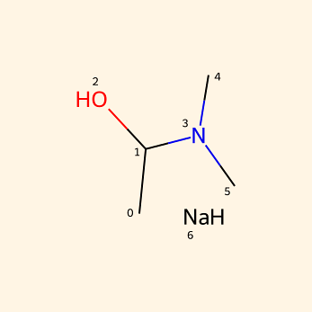 CC(O)N(C)C.[NaH]